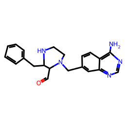 Nc1ncnc2cc(CN3CCNC(Cc4ccccc4)C3C=O)ccc12